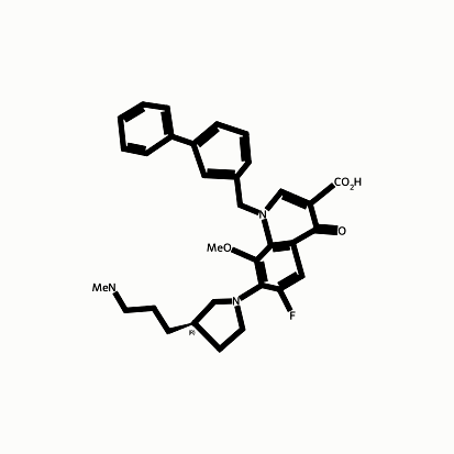 CNCCC[C@@H]1CCN(c2c(F)cc3c(=O)c(C(=O)O)cn(Cc4cccc(-c5ccccc5)c4)c3c2OC)C1